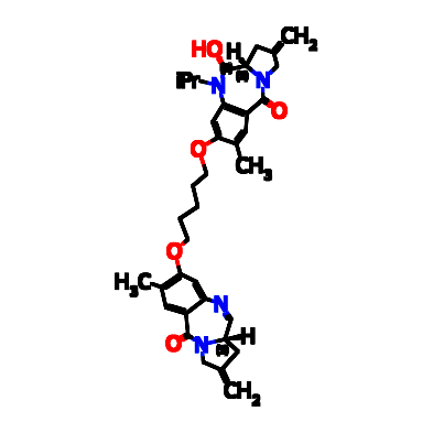 C=C1C[C@H]2C=Nc3cc(OCCCCCOc4cc5c(cc4C)C(=O)N4CC(=C)C[C@H]4[C@H](O)N5C(C)C)c(C)cc3C(=O)N2C1